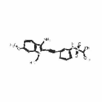 CCn1c(C#Cc2cccc(NS(=O)(=O)C(C)C)c2)c(N)c2ccc(OC)cc21